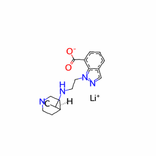 O=C([O-])c1cccc2cnn(CCN[C@@H]3CN4CCC3CC4)c12.[Li+]